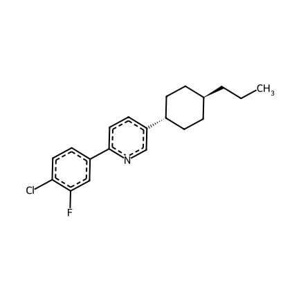 CCC[C@H]1CC[C@H](c2ccc(-c3ccc(Cl)c(F)c3)nc2)CC1